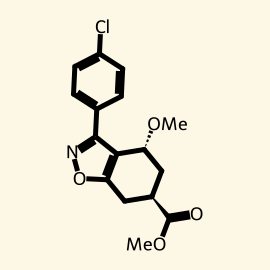 COC(=O)[C@H]1Cc2onc(-c3ccc(Cl)cc3)c2[C@H](OC)C1